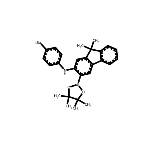 CC(C)(C)c1ccc(Nc2cc3c(cc2B2OC(C)(C)C(C)(C)O2)-c2ccccc2C3(C)C)cc1